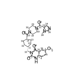 COc1ccc2[nH]c(=O)n(C[C@H]3CC[C@H](C(=O)N4CCN(C(=O)c5cncn5C)CC4)CC3)c(=O)c2c1